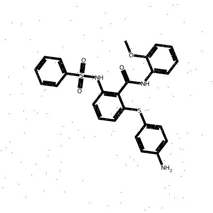 COc1ccccc1NC(=O)c1c(NS(=O)(=O)c2ccccc2)cccc1Sc1ccc(N)cc1